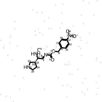 CNC(C=NC(=O)OCc1ccc([N+](=O)[O-])cc1)[C@H]1CCNC1